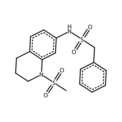 CS(=O)(=O)N1CCCc2ccc(NS(=O)(=O)Cc3ccccc3)cc21